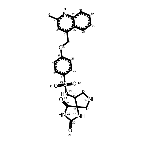 Cc1cc(COc2ccc(S(=O)(=O)NC3CNCC34NC(=O)NC4=O)cc2)c2ccccc2n1